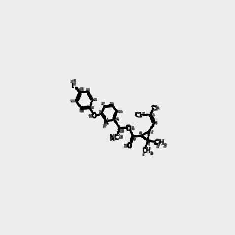 CC1(C)C(C=C(Cl)Cl)C1C(=O)OC(C#N)c1cccc(Oc2ccc(F)cc2)n1